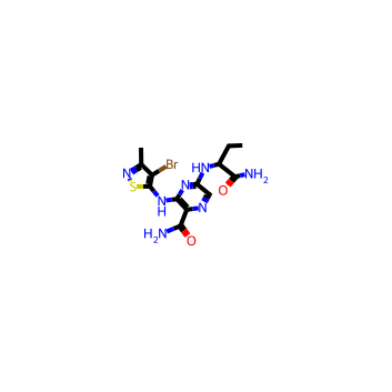 CCC(Nc1cnc(C(N)=O)c(Nc2snc(C)c2Br)n1)C(N)=O